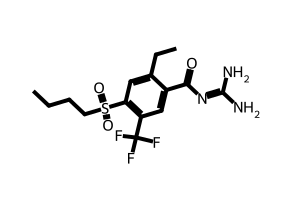 CCCCS(=O)(=O)c1cc(CC)c(C(=O)N=C(N)N)cc1C(F)(F)F